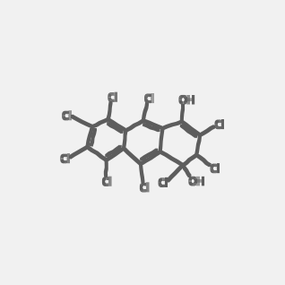 OC1=C(Cl)C(Cl)C(O)(Cl)c2c1c(Cl)c1c(Cl)c(Cl)c(Cl)c(Cl)c1c2Cl